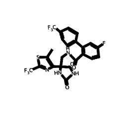 Cc1sc(C(F)(F)F)nc1C1(CNC(=O)c2ccc(F)cc2-c2ccc(C(F)(F)F)cc2)NC(=O)NC1=O